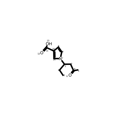 CCC(CC(C)=O)n1ccc(C(=O)O)c1